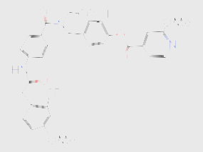 COc1ccc(CC(=O)Nc2ccc(C(=O)N(CC(=O)O)Cc3ccc(OC(=O)c4ccnc(OC)c4)cc3)cc2)c(C(F)(F)F)c1